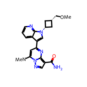 CNc1cc(-c2cn([C@H]3C[C@@H](COC)C3)c3ncccc23)nc2c(C(N)=O)cnn12